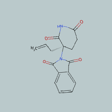 C=CC[C@@]1(N2C(=O)c3ccccc3C2=O)CCC(=O)NC1=O